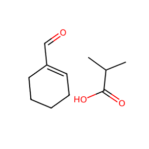 CC(C)C(=O)O.O=CC1=CCCCC1